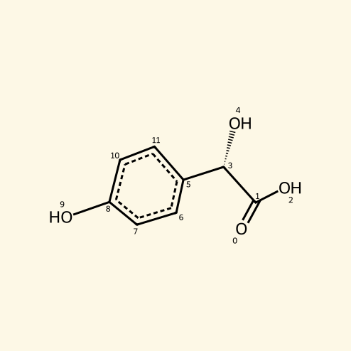 O=C(O)[C@@H](O)c1ccc(O)cc1